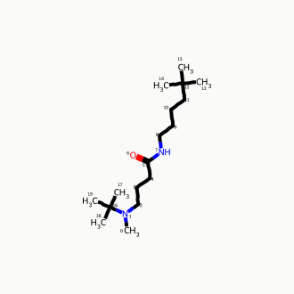 CN(CCCC(=O)NCCCCC(C)(C)C)C(C)(C)C